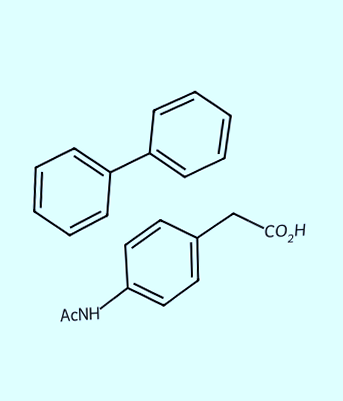 CC(=O)Nc1ccc(CC(=O)O)cc1.c1ccc(-c2ccccc2)cc1